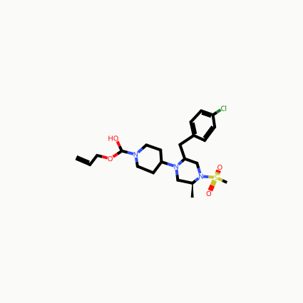 C=CCOC(O)N1CCC(N2C[C@H](C)N(S(C)(=O)=O)CC2Cc2ccc(Cl)cc2)CC1